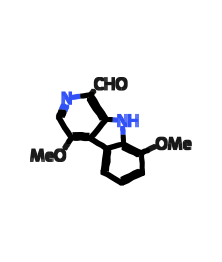 COc1cccc2c1[nH]c1c(C=O)ncc(OC)c12